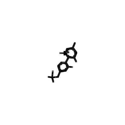 Cc1cc(C)c(-c2ccc(CC(C)(C)C)cc2C)[n+](C)c1